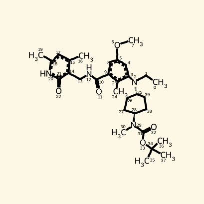 CCN(c1cc(OC)cc(C(=O)NCc2c(C)cc(C)[nH]c2=O)c1C)[C@H]1CC[C@H](N(C)C(=O)OC(C)(C)C)CC1